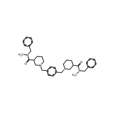 CN(Cc1ccccc1)C(=O)C1CCCN(Cc2ccc(CN3CCCC(C(=O)N(C)Cc4ccccc4)C3)cc2)C1